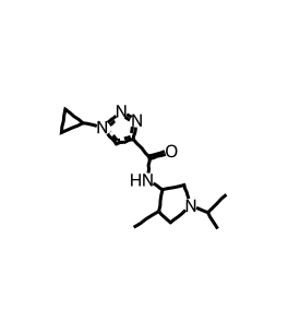 CC1CN(C(C)C)CC1NC(=O)c1cn(C2CC2)nn1